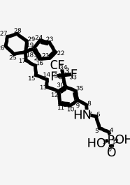 O=P(O)(O)CCCNCc1ccc(CCCCCC2(c3ccccc3)CCCCC2)c(C(F)(F)C(F)(F)F)c1